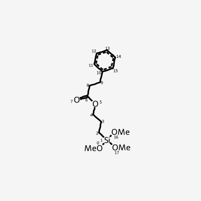 CO[Si](CCCOC(=O)CCc1ccccc1)(OC)OC